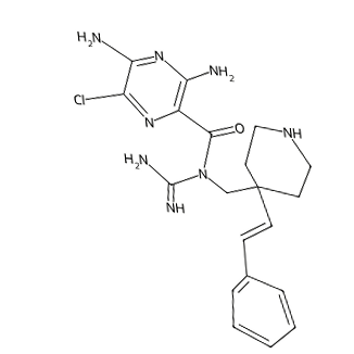 N=C(N)N(CC1(C=Cc2ccccc2)CCNCC1)C(=O)c1nc(Cl)c(N)nc1N